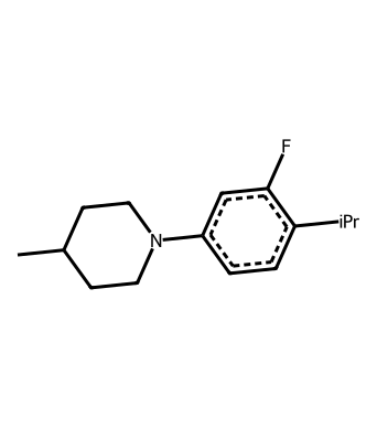 CC1CCN(c2ccc(C(C)C)c(F)c2)CC1